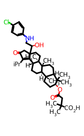 CC(C)C1=C2[C@H]3CC[C@@H]4[C@@]5(C)CC[C@H](OC(=O)CC(C)(C)C(=O)O)C(C)(C)[C@@H]5CC[C@@]4(C)[C@]3(C)CCC2([C@H](O)CNc2ccc(Cl)cc2)CC1=O